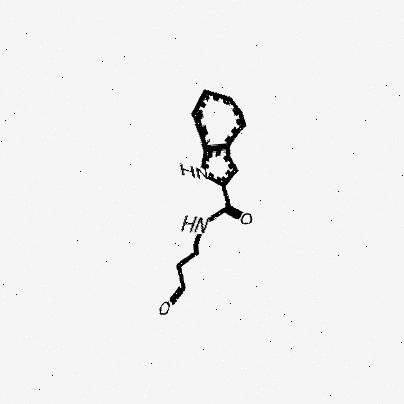 O=CCCNC(=O)c1cc2ccccc2[nH]1